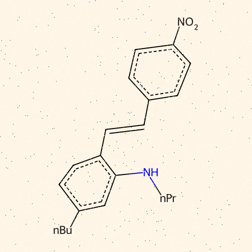 CCCCc1ccc(C=Cc2ccc([N+](=O)[O-])cc2)c(NCCC)c1